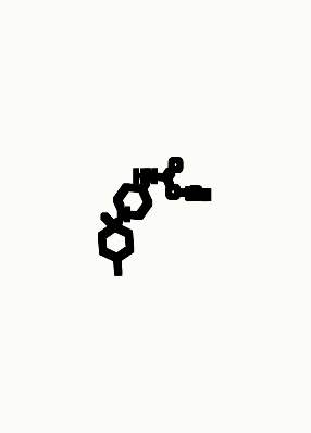 CC1CCC(C)(N2CCC(NC(=O)OC(C)(C)C)CC2)CC1